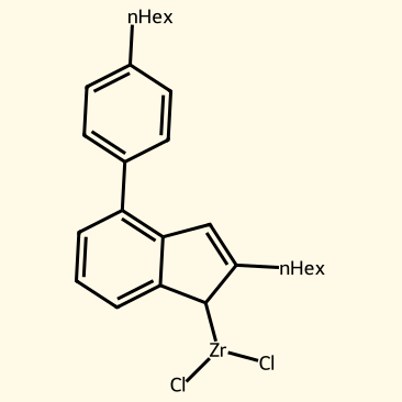 CCCCCCC1=Cc2c(-c3ccc(CCCCCC)cc3)cccc2[CH]1[Zr]([Cl])[Cl]